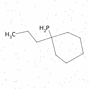 CCCC1(P)CCCCC1